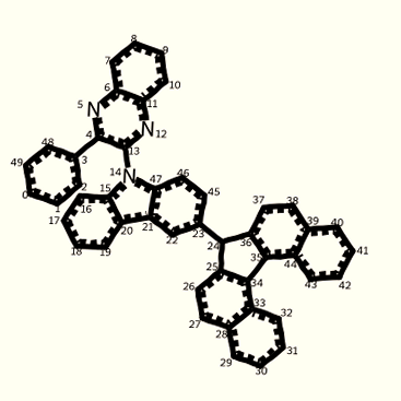 c1ccc(-c2nc3ccccc3nc2-n2c3ccccc3c3cc(C4c5ccc6ccccc6c5-c5c4ccc4ccccc54)ccc32)cc1